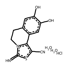 Cl.N#Cc1sc(=N)n2c1-c1cc(O)c(O)cc1CC2.O.O